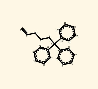 C=CCCCC(c1ccccc1)(c1ccccc1)c1ccccc1